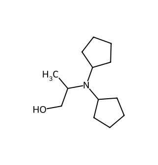 CC(CO)N(C1CCCC1)C1CCCC1